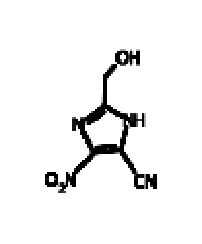 N#Cc1[nH]c(CO)nc1[N+](=O)[O-]